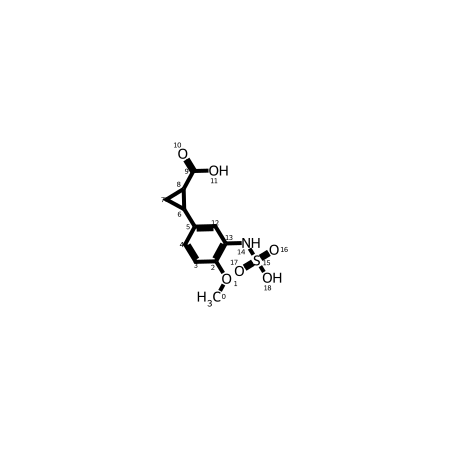 COc1ccc(C2CC2C(=O)O)cc1NS(=O)(=O)O